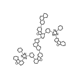 c1ccc(-c2nc(-c3cccc(-c4ccc(-c5ccc6ccc7cc(-c8ccc9oc%10cccc(-c%11cccc(-c%12nc(-c%13ccccc%13)nc(-c%13cccc%14oc%15ccccc%15c%13%14)n%12)c%11)c%10c9c8)ccc7c6c5)c5oc6ccc(-c7ccc8c(ccc9ccccc98)c7)cc6c45)c3)nc(-c3ccc4oc5ccccc5c4c3)n2)cc1